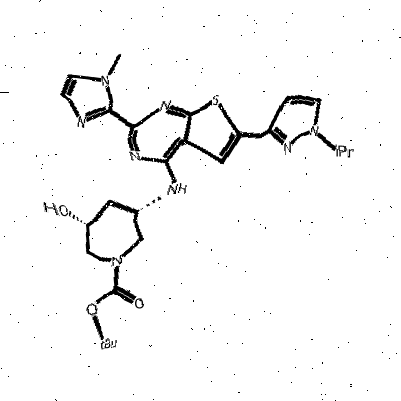 CC(C)n1ccc(-c2cc3c(N[C@H]4C[C@@H](O)CN(C(=O)OC(C)(C)C)C4)nc(-c4nccn4C)nc3s2)n1